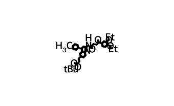 CCOc1ccc(C(=O)CCC(=O)Nc2cc(-c3ccc(C)cc3)c3cc(/C=C/C(=O)OC(C)(C)C)ccc3n2)cc1OCC